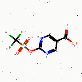 O=C(O)c1cnc(OS(=O)(=O)C(F)(F)F)nc1